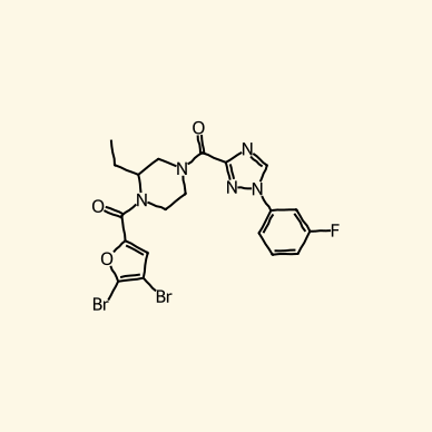 CCC1CN(C(=O)c2ncn(-c3cccc(F)c3)n2)CCN1C(=O)c1cc(Br)c(Br)o1